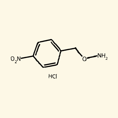 Cl.NOCc1ccc([N+](=O)[O-])cc1